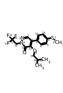 CSc1ccc(-c2cnn(CC(F)(F)F)c(=O)c2OCC(C)C)cc1